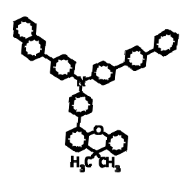 CC1(C)c2ccccc2Oc2c(-c3ccc(N(c4ccc(-c5ccc(-c6ccccc6)cc5)cc4)c4ccc(-c5ccc6ccccc6c5)cc4)cc3)cccc21